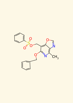 Cc1nc(OCc2ccccc2)c(COS(=O)(=O)c2ccccc2)c2ocnc12